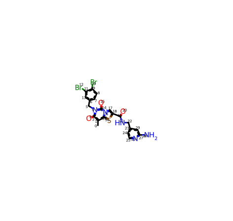 Cc1c(=O)n(Cc2ccc(Br)c(Br)c2)c(=O)n2cc(C(=O)NCc3ccnc(N)c3)sc12